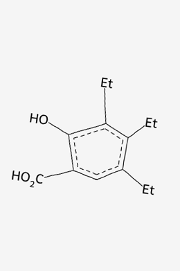 CCc1cc(C(=O)O)c(O)c(CC)c1CC